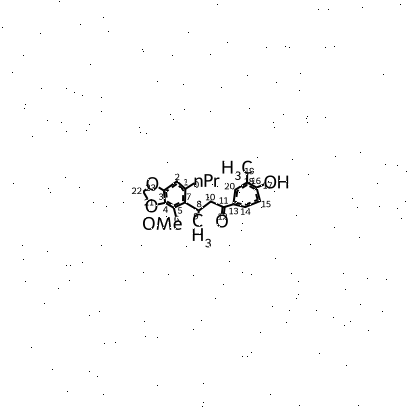 CCCc1cc2c(c(OC)c1C(C)CC(=O)c1ccc(O)c(C)c1)OCO2